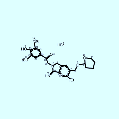 Br.CCc1nc2c(cc1COC1CCCCO1)CN(CC(=O)c1cc(C(C)(C)C)c(O)c(C(C)(C)C)c1)C2=N